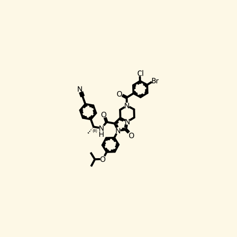 CC(C)Oc1ccc(-n2c(C(=O)N[C@H](C)c3ccc(C#N)cc3)c3n(c2=O)CCN(C(=O)c2ccc(Br)c(Cl)c2)C3)cc1